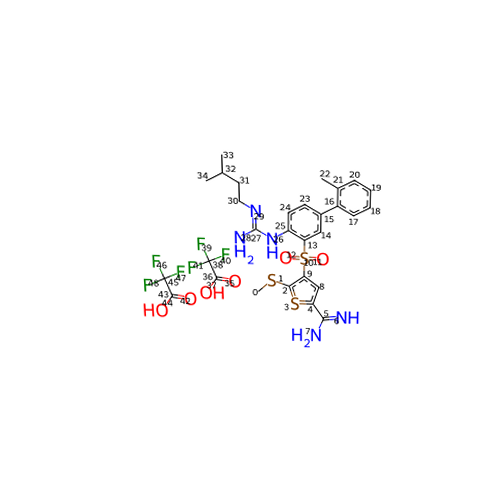 CSc1sc(C(=N)N)cc1S(=O)(=O)c1cc(-c2ccccc2C)ccc1NC(N)=NCCC(C)C.O=C(O)C(F)(F)F.O=C(O)C(F)(F)F